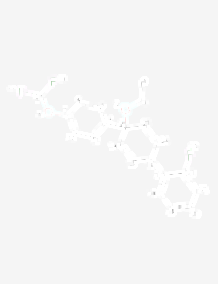 CCOC1(c2ccc(OC(F)F)cc2)C=CC(c2ccccc2F)C=C1